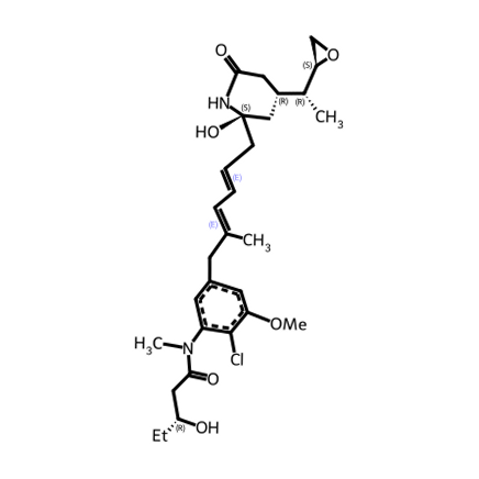 CC[C@@H](O)CC(=O)N(C)c1cc(C/C(C)=C/C=C/C[C@@]2(O)C[C@@H]([C@@H](C)[C@H]3CO3)CC(=O)N2)cc(OC)c1Cl